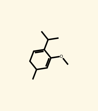 COC1=CC(C)CC=C1C(C)C